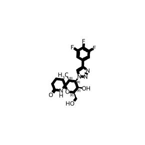 C[C@@H]1[C@@H](n2cc(-c3cc(F)c(F)c(F)c3)nn2)[C@@H](O)[C@@H](CO)OC12CCCC(=O)N2